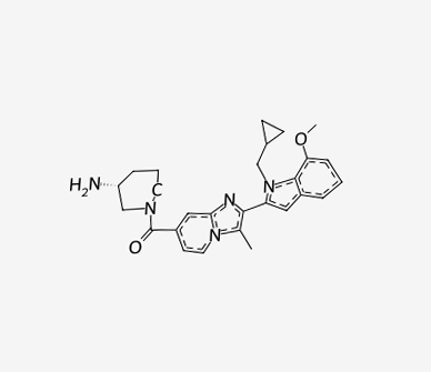 COc1cccc2cc(-c3nc4cc(C(=O)N5CCC[C@@H](N)C5)ccn4c3C)n(CC3CC3)c12